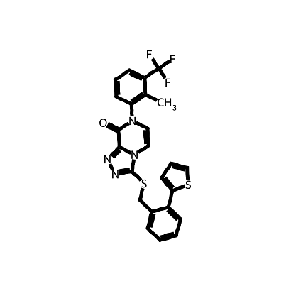 Cc1c(-n2ccn3c(SCc4ccccc4-c4cccs4)nnc3c2=O)cccc1C(F)(F)F